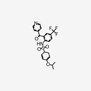 CC(C)OC1=CCC(S(=O)(=O)Nc2ccc(C(F)(F)F)cc2C(=O)c2ccncc2)C=C1